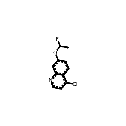 FC(F)Oc1ccc2c(Cl)ccnc2c1